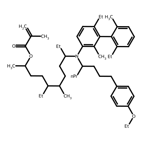 C=C(C)C(=O)OC(C)CCC(CC)C(C)CCC(CC)N(c1ccc(CC)c(-c2c(C)cccc2CC)c1C)C(CCC)CCCc1ccc(OCC)cc1